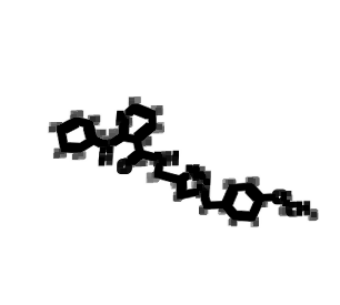 COc1ccc(Cn2cc(CNC(=O)c3cccnc3Nc3ccccc3)nn2)cc1